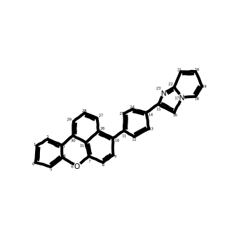 c1ccc2c(c1)Oc1ccc(-c3ccc(-c4cn5ccccc5n4)cc3)c3cccc-2c13